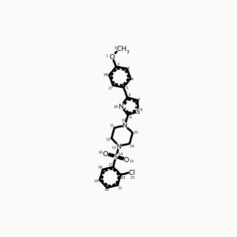 COc1ccc(-c2csc(N3CCN(S(=O)(=O)c4ccccc4Cl)CC3)n2)cc1